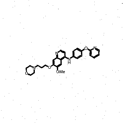 COc1cc2c(Nc3ccc(Oc4ccccn4)cc3)ccnc2cc1OCCCN1CCOCC1